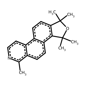 Cc1nccc2c1ccc1c3c(ccc12)C(C)(C)OC3(C)C